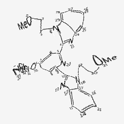 COCCn1c(-c2cccc(-c3nc4ccccc4n3CCOC)n2)nc2ccccc21.[Cl-].[Cl-].[Cl-].[Nd+3]